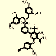 COc1ccc(CN(Cc2ccc(OC)cc2OC)S(=O)(=O)c2cccc(-c3nc(Oc4ccc(C#N)cc4OC)c(C(N)=O)c(C)c3C(F)(F)F)c2)c(OC)c1